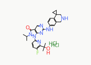 CC(C)n1c(=O)c2cnc(Nc3ccc4c(c3)CNCC43CC3)nc2n1-c1ccc(F)c(C(C)(C)O)n1.Cl.Cl